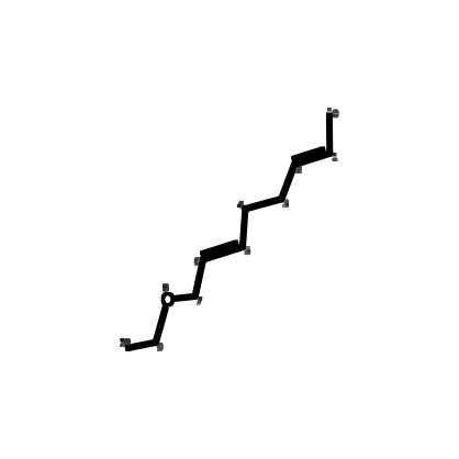 [CH2]C=CCCC=CCOCC